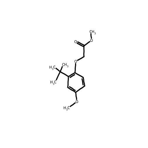 COC(=O)COc1ccc(OC)cc1C(C)(C)C